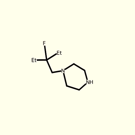 CCC(F)(CC)CN1CCNCC1